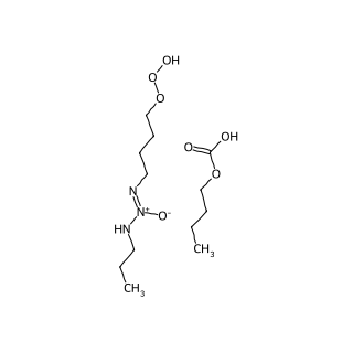 CCCCOC(=O)O.CCCN[N+]([O-])=NCCCCOOO